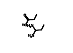 CCC(=O)O.CCC(N)N